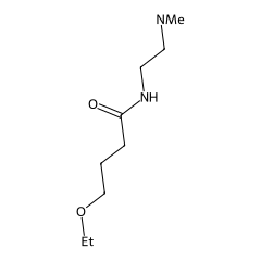 CCOCCCC(=O)NCCNC